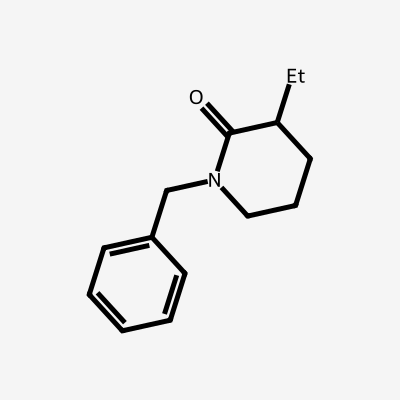 CCC1CCCN(Cc2ccccc2)C1=O